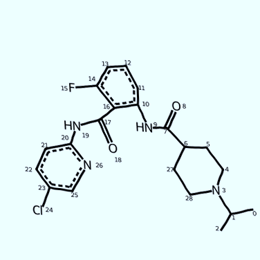 CC(C)N1CCC(C(=O)Nc2cccc(F)c2C(=O)Nc2ccc(Cl)cn2)CC1